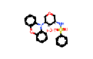 O=S(=O)(N[C@@H]1COC[C@H](N2c3ccccc3Oc3ccccc32)[C@H]1O)c1ccccc1